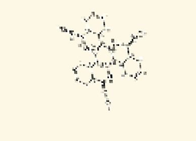 O=C=NC1CC=CCC1C1[N+](=O)C(C2CC=CCC2N=C=O)[N+](=O)C(C2CC=CCC2N=C=O)[N+]1=O